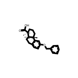 C[C@@]12CCc3ccc(OCc4ccccc4)cc3[C@@]1(C)CCC[C@]2(C)C(=O)O